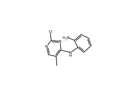 Cc1cnc(Cl)nc1Nc1ccccc1N